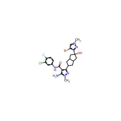 Cn1cc(Br)c(C2(O)CC3CC(c4nn(C)c(N)c4C(=O)Nc4ccc(F)c(Cl)c4)CC3C2)n1